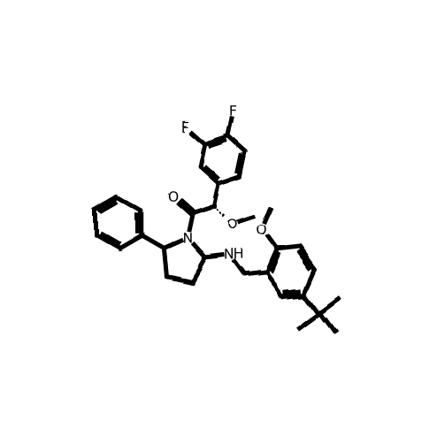 COc1ccc(C(C)(C)C)cc1CNC1CCC(c2ccccc2)N1C(=O)[C@@H](OC)c1ccc(F)c(F)c1